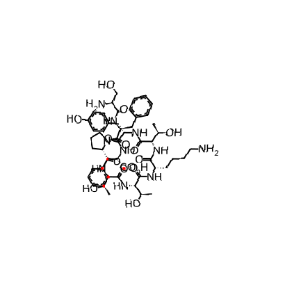 C[C@@H](O)[C@H](NC(=O)[C@H](CCCCN)NC(=O)[C@@H](NC(=O)[C@@H](NC(=O)[C@@H]1CCCN1C(=O)[C@H](Cc1ccccc1)NC(=O)[C@@H](N)CO)[C@@H](C)O)[C@@H](C)O)C(=O)N[C@@H](Cc1ccc(O)cc1)C(=O)N[C@@H](Cc1ccccc1)C(=O)O